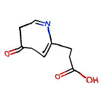 O=C(O)CC1=CC(=O)CC=N1